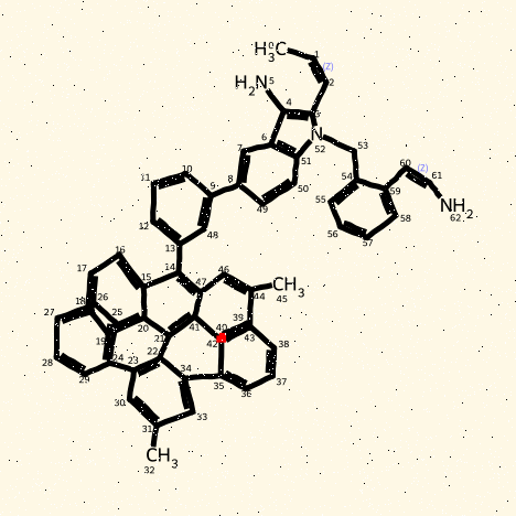 C/C=C\c1c(N)c2cc(-c3cccc(-c4c5ccccc5c(-c5c(-c6ccccc6)cc(C)cc5-c5ccccc5)c5ccc(C)cc45)c3)ccc2n1Cc1ccccc1/C=C\N